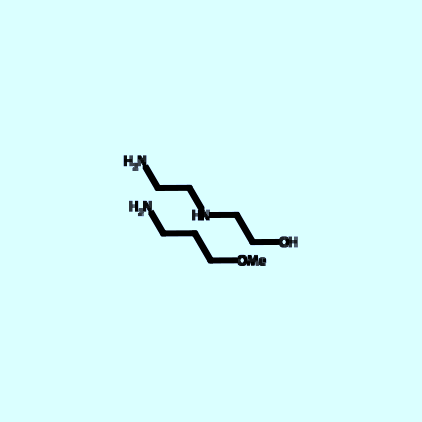 COCCCN.NCCNCCO